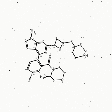 C[C@@H]1COCCN1C(=O)c1cc(F)ccc1-c1cc(C2CN(CC3CCNCC3)C2)cc2c1cnn2C